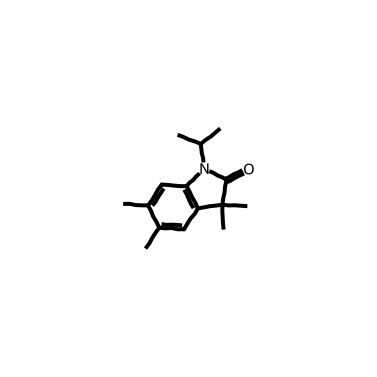 Cc1cc2c(cc1C)C(C)(C)C(=O)N2C(C)C